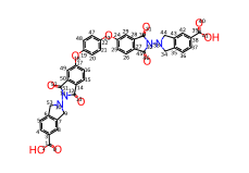 O=C(O)c1ccc2c(c1)CN(N1C(=O)c3ccc(Oc4ccc(Oc5ccc6c(c5)C(=O)N(N5Cc7ccc(C(=O)O)cc7C5)C6=O)cc4)cc3C1=O)C2